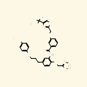 Cc1ccc(S(=O)(=O)CCCc2ccc(OCc3nnn[nH]3)c(NC(=O)c3cccc(OCc4nc(C(C)(C)C)cs4)c3)c2)cc1